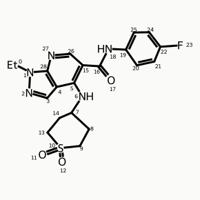 CCn1ncc2c(NC3CCS(=O)(=O)CC3)c(C(=O)Nc3ccc(F)cc3)cnc21